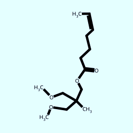 C/C=C\CCCC(=O)OCC(C)(COC)COC